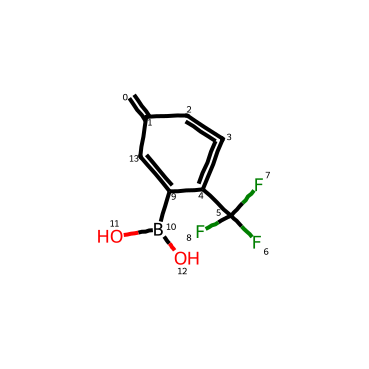 C=C1C=C=C(C(F)(F)F)C(B(O)O)=C1